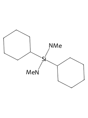 CN[Si](NC)(C1CCCCC1)C1CCCCC1